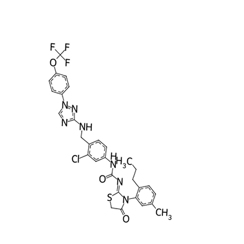 CCCc1ccc(C)cc1N1C(=O)CSC1=NC(=O)Nc1ccc(CNc2ncn(-c3ccc(OC(F)(F)F)cc3)n2)c(Cl)c1